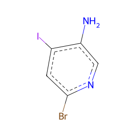 Nc1cnc(Br)cc1I